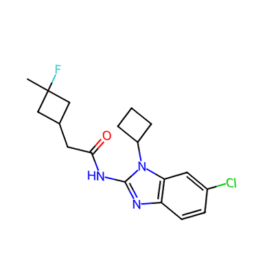 CC1(F)CC(CC(=O)Nc2nc3ccc(Cl)cc3n2C2CCC2)C1